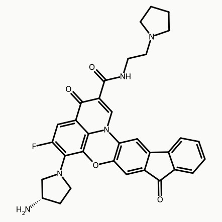 N[C@H]1CCN(c2c(F)cc3c(=O)c(C(=O)NCCN4CCCC4)cn4c5cc6c(cc5oc2c34)c(=O)c2ccccc26)C1